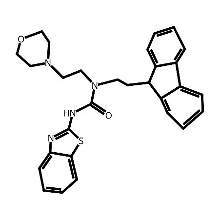 O=C(Nc1nc2ccccc2s1)N(CCC1c2ccccc2-c2ccccc21)CCN1CCOCC1